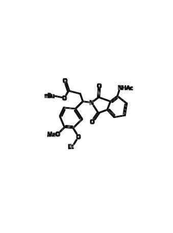 CCCCOC(=O)CC(c1ccc(OC)c(OCC)c1)N1C(=O)c2cccc(NC(C)=O)c2C1=O